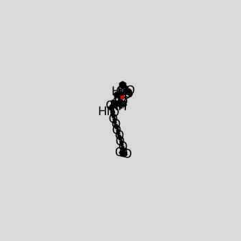 CC[C@H](C)[C@@H](C(CC(=O)N1CCC[C@H]1[C@H](OC)[C@@H](C)C(=O)N[C@@H](Cc1ccccc1)C(=O)OC(C)(C)C)OC)N(C)C(=O)[C@@H](NC(=O)C(C)(C)NC(=O)CCOCCOCCOCCOCCOCCOCCN1C(=O)C=CC1=O)C(C)C